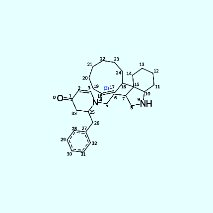 O=C1C=CN(CCC2CNC3CCCCC23C2/C=C\CCCCCC2)C(Cc2ccccc2)C1